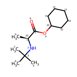 C[C@H](NC(C)(C)C)C(=O)OC1CCCCC1